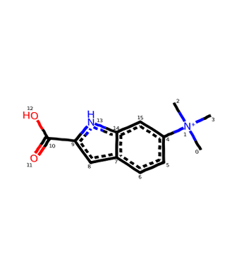 C[N+](C)(C)c1ccc2cc(C(=O)O)[nH]c2c1